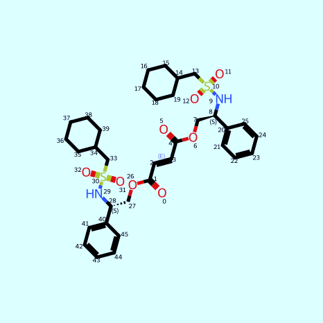 O=C(/C=C/C(=O)OC[C@@H](NS(=O)(=O)CC1CCCCC1)c1ccccc1)OC[C@@H](NS(=O)(=O)CC1CCCCC1)c1ccccc1